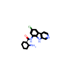 NC1CCCC[C@H]1C(=O)Nc1cc(Cl)cc2c1[nH]c1cnccc12